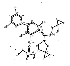 O=C(NCC1(F)CC1)N1CC2(CC2)[C@H](NS(=O)(=O)CF)[C@@H]1Cc1cc(F)cc(-c2cc(F)cc(F)c2)c1F